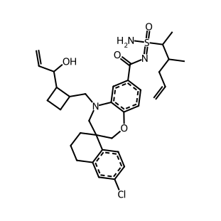 C=CCC(C)C(C)S(N)(=O)=NC(=O)c1ccc2c(c1)N(CC1CCC1C(O)C=C)CC1(CCCc3cc(Cl)ccc31)CO2